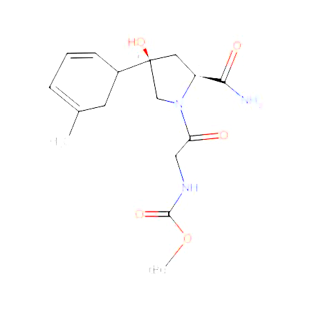 CC1=CC=CC([C@]2(O)C[C@@H](C(N)=O)N(C(=O)CNC(=O)OC(C)(C)C)C2)C1